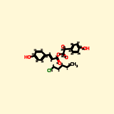 CCCCCCl.O=C(C=Cc1ccc(O)cc1)OC(=O)C(=O)c1ccc(O)cc1